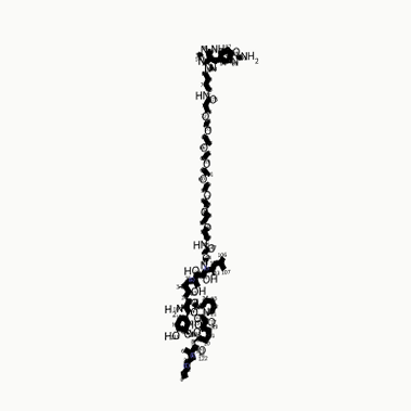 C=C/C=C/C=C(\C)[C@H](C[C@@H]1CC[C@@H](C)[C@](O)(C(=O)C(=O)N2CCCC[C@H]2C(=O)O[C@@H](C[C@@H](O)[C@H](C)/C=C(\C)[C@@H](O)[C@@H](O)/C(=N/OCC(=O)NCCOCCOCCOCCOCCOCCOCCOCCOCCC(=O)NCCCCn2nc(-c3ccc4oc(N)nc4c3)c3c(N)ncnc32)[C@H](C)CC(C)C)[C@H](N)C[C@@H]2CC[C@@H](O)[C@H](OC)C2)O1)OC